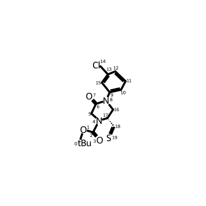 CC(C)(C)OC(=O)N1CC(=O)N(c2cccc(Cl)c2)C[C@@H]1C=S